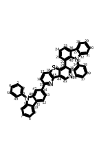 c1ccc(-n2c3ccccc3c3ccc(-c4ccc5sc6c(-c7cccc8c9ccccc9n(-c9ccccc9)c78)cncc6c5n4)cc32)cc1